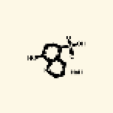 O=S(=O)(O)c1ccc(O)c2ncccc12.[NaH]